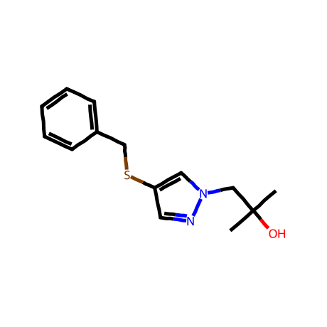 CC(C)(O)Cn1cc(SCc2ccccc2)cn1